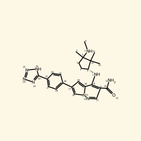 CNC1(C)CC[C@@H](Nc2c(C(N)=O)cnn3cc(-c4ccc(-c5nnn[nH]5)cc4)cc23)C1(C)C